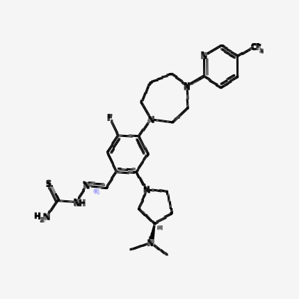 CN(C)[C@@H]1CCN(c2cc(N3CCCN(c4ccc(C(F)(F)F)cn4)CC3)c(F)cc2/C=N/NC(N)=S)C1